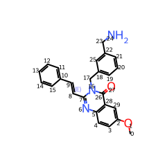 COc1ccc2nc(/C=C/c3ccccc3)n(Cc3cccc(CN)c3)c(=O)c2c1